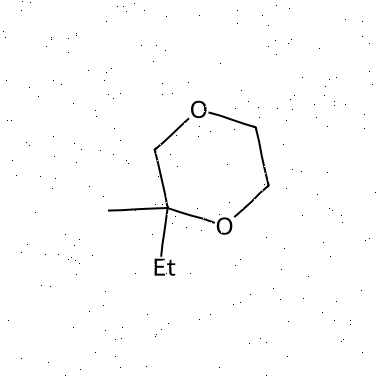 CCC1(C)COCCO1